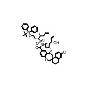 C=CC[C@H](C)[C@@H](CCO[Si](c1ccccc1)(c1ccccc1)C(C)(C)C)S(=O)(=O)NC(=O)c1ccc2c(c1)N(C[C@@H]1CC[C@H]1[C@@H](O)C=C)C[C@@]1(CCCc3cc(Cl)ccc31)CO2